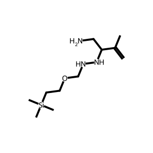 C=C(C)C(CN)NNCOCC[Si](C)(C)C